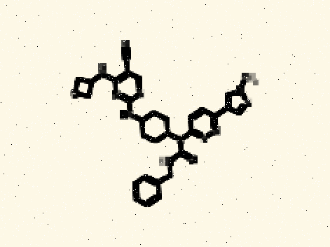 Cn1cc(-c2ccc(N(C(=O)NCc3ccccc3)C3CCC(Nc4ncc(C#N)c(NC5COC5)n4)CC3)nn2)cn1